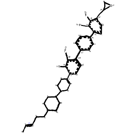 C/C=C/CCC1CCC(C2CC=C(c3ccc(-c4ccc(-c5ccc(C6CO6)c(F)c5F)cc4)c(F)c3F)CC2)CC1